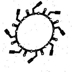 C#CCN1CC(=O)N(CC#C)CC(=O)N(CC#C)CC(=O)N(CC#C)CC(=O)N(CC#C)CC(=O)N(CC#C)CC(=O)N(CC#C)CC(=O)N(CC#C)CC1=O